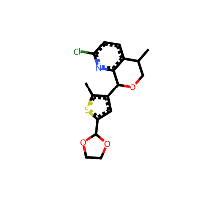 Cc1sc(C2OCCO2)cc1C1OCC(C)c2ccc(Cl)nc21